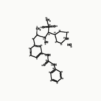 CCCN(C(C)Cc1cccc(NC(=O)Nc2ccccc2)c1)C(C1CCNCC1)S(C)(=O)=O.Cl